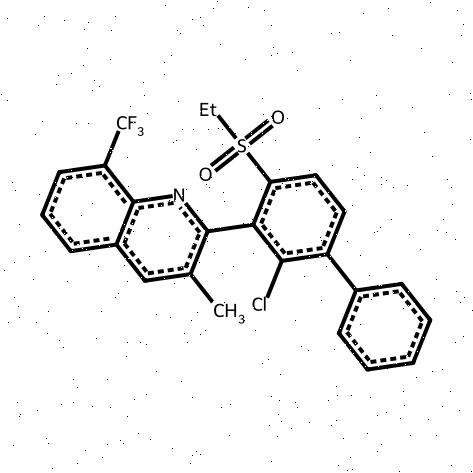 CCS(=O)(=O)c1ccc(-c2ccccc2)c(Cl)c1-c1nc2c(C(F)(F)F)cccc2cc1C